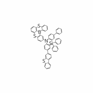 c1ccc(-c2ccc3c(c2)[Si](c2ccccc2)(c2ccccc2)c2cc(-c4ccc5c(c4)sc4ccccc45)ccc2N3c2ccc3c(c2)B2c4ccccc4Sc4cccc(c42)S3)cc1